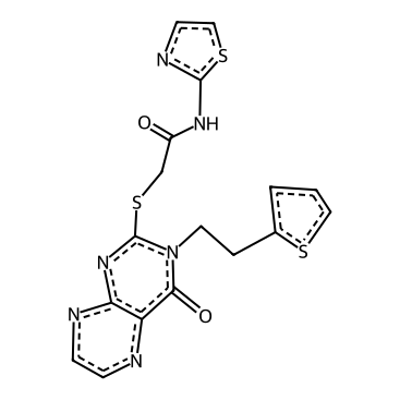 O=C(CSc1nc2nccnc2c(=O)n1CCc1cccs1)Nc1nccs1